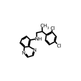 CC(CNc1cccc2nccnc12)c1ccc(Cl)cc1Cl